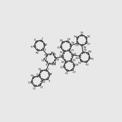 c1ccc(-c2nc(-c3ccc4ccccc4c3)nc(-c3c4ccccc4c4c5c(cccc35)-c3ccccc3-c3ccccc3-4)n2)cc1